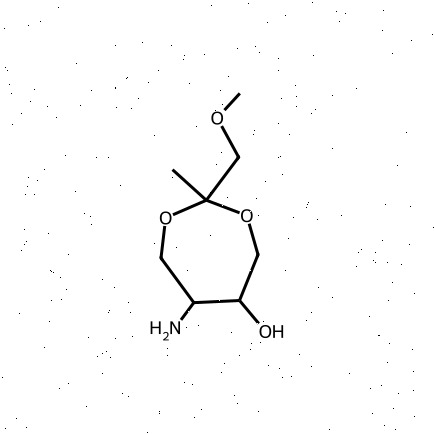 COCC1(C)OCC(N)C(O)CO1